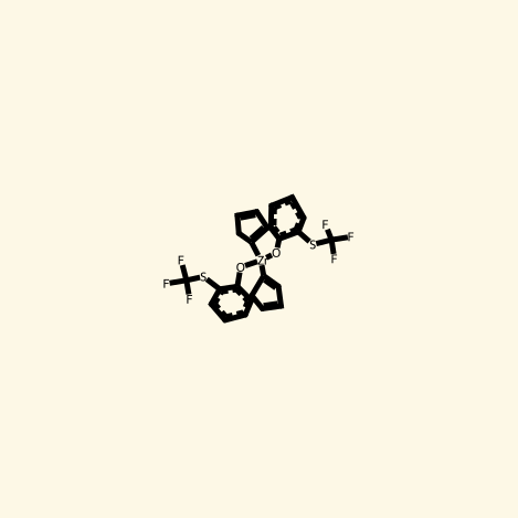 FC(F)(F)Sc1ccccc1[O][Zr]([O]c1ccccc1SC(F)(F)F)([C]1=CC=CC1)[C]1=CC=CC1